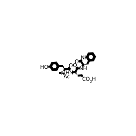 CC(=O)N(C)[C@@H](Cc1ccc(O)cc1)C(=O)N[C@@H](CCC(=O)O)C(=O)N[C@@H](Cc1ccccc1)C(N)=O